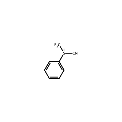 N#C[SH](c1ccccc1)C(F)(F)F